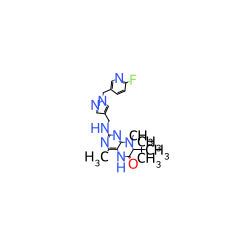 Cc1nc(NCc2cnn(Cc3ccc(F)nc3)c2)nc2c1NC(=O)C(C(C)(C)C)N2C